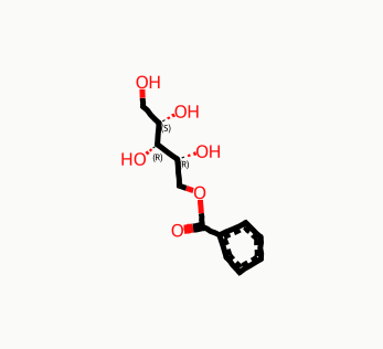 O=C(OC[C@@H](O)[C@H](O)[C@@H](O)CO)c1ccccc1